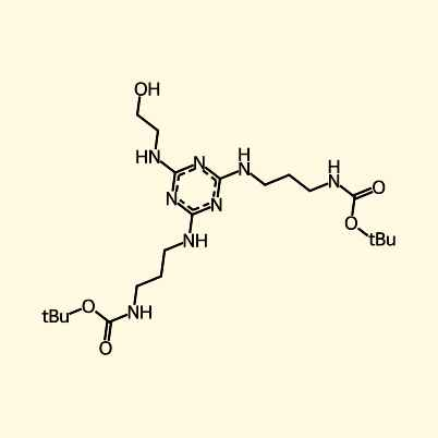 CC(C)(C)OC(=O)NCCCNc1nc(NCCO)nc(NCCCNC(=O)OC(C)(C)C)n1